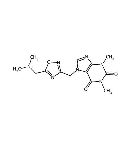 CN(C)Cc1nc(Cn2cnc3c2c(=O)n(C)c(=O)n3C)no1